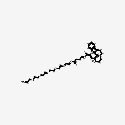 CC[C@@]12C=C(C(=O)OCCCC(=O)OCCOCCOCCOCCOCCOCCO)n3c4c(c5ccccc53)CCN(CCC1)[C@H]42